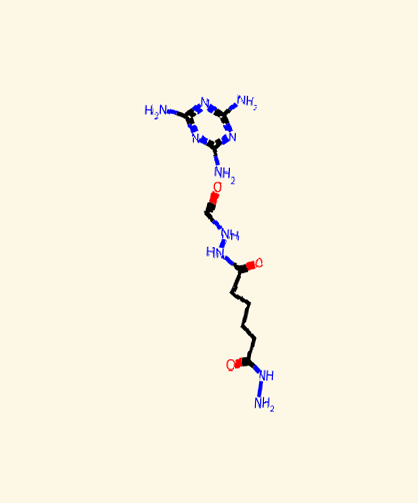 NNC(=O)CCCCC(=O)NNC=O.Nc1nc(N)nc(N)n1